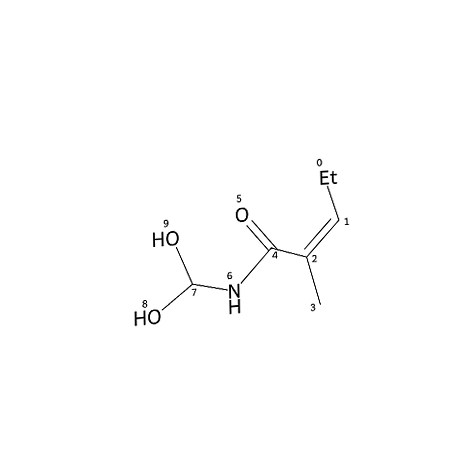 CCC=C(C)C(=O)NC(O)O